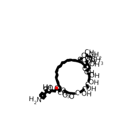 CC1/C=C/C=C/C=C/C=C/C=C/C=C/C=C/C(OCO[C@H](C)[C@@H](O)[C@@H](C)N)CC2OC(O)(CC(O)CC(O)CC(O)CC(O)CCCC(=O)CC(=O)OC1C(C)CCC(O)CC(=O)c1ccc(N)cc1)CC(O)C2C(=O)O